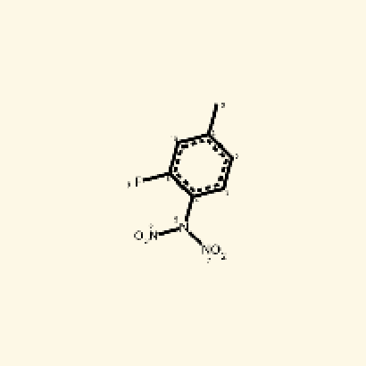 Cc1ccc(N([N+](=O)[O-])[N+](=O)[O-])c(F)c1